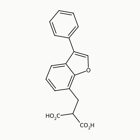 O=C(O)C(Cc1cccc2c(-c3ccccc3)coc12)C(=O)O